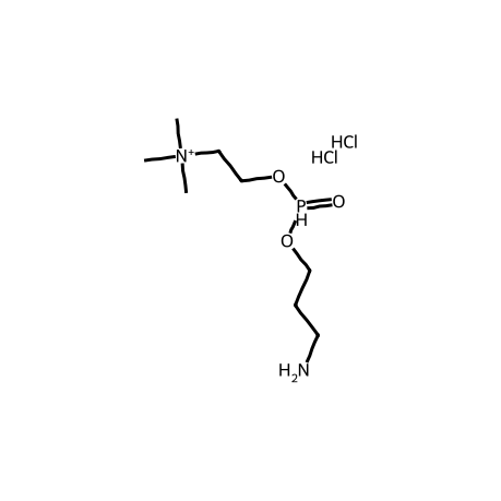 C[N+](C)(C)CCO[PH](=O)OCCCN.Cl.Cl